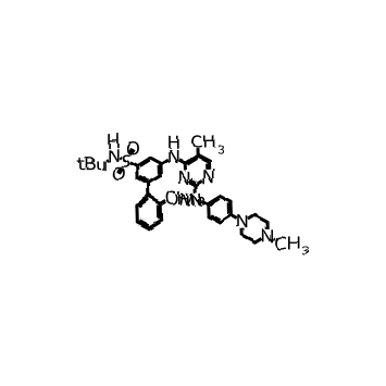 COc1ccccc1-c1cc(Nc2nc(Nc3ccc(N4CCN(C)CC4)cc3)ncc2C)cc(S(=O)(=O)NC(C)(C)C)c1